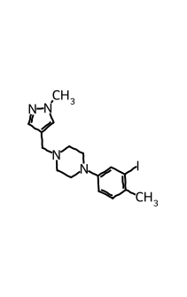 Cc1ccc(N2CCN(Cc3cnn(C)c3)CC2)cc1I